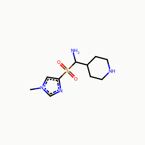 Cn1cnc(S(=O)(=O)C(N)C2CCNCC2)c1